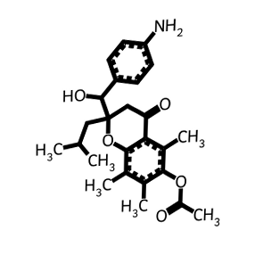 CC(=O)Oc1c(C)c(C)c2c(c1C)C(=O)CC(CC(C)C)(C(O)c1ccc(N)cc1)O2